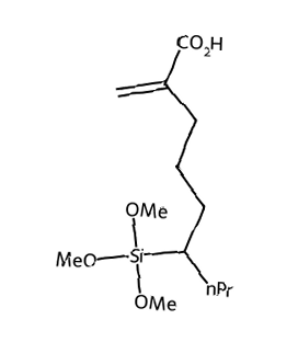 C=C(CCCC(CCC)[Si](OC)(OC)OC)C(=O)O